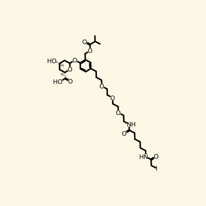 CC(C)C(=O)OCc1cc(CCCOCCOCCOCCNC(=O)CCCCCNC(=O)CI)ccc1OC1C[C@@H](O)C[C@@H](C(=O)O)O1